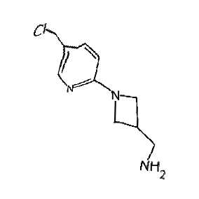 NCC1CN(c2ccc(Cl)cn2)C1